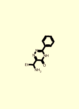 CCC(N)c1nnc(-c2ccccc2)[nH]c1=O